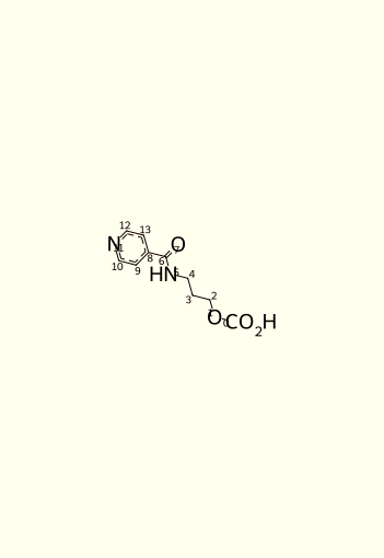 O=C(O)OCCCNC(=O)c1ccncc1